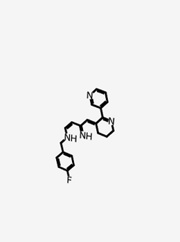 N=C(/C=C\NCc1ccc(F)cc1)/C=C1\CCCN=C1c1cccnc1